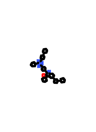 c1ccc(-c2ccc(-c3nc(-c4ccccc4)nc(-c4ccc(-c5nc6ccc(-c7cccc(-c8ccccc8)c7)cc6c6c5oc5ccccc56)cc4)n3)cc2)cc1